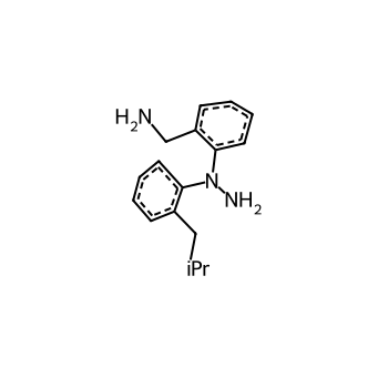 CC(C)Cc1ccccc1N(N)c1ccccc1CN